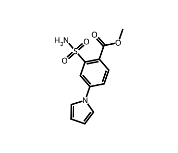 COC(=O)c1ccc(-n2cccc2)cc1S(N)(=O)=O